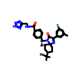 CCC[C@H](c1ccc(C(=O)NCc2nn[nH]n2)cc1)N1C(=O)C(c2cc(C)cc(F)c2)=NC12CCC(C(C)(C)CC)CC2